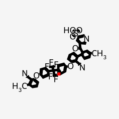 Cc1ccc(-c2cccc(Oc3ccc(C(c4ccc(Oc5cccc(C)c5C#N)cc4)(C(F)(F)F)C(F)(F)F)cc3)c2C#N)c(C(=O)c2cncc(S(=O)(=O)O)c2)c1